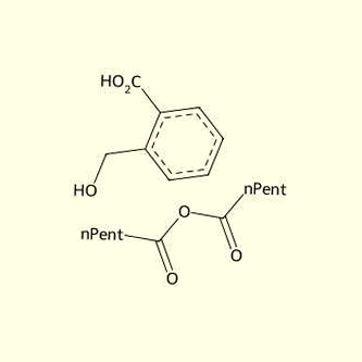 CCCCCC(=O)OC(=O)CCCCC.O=C(O)c1ccccc1CO